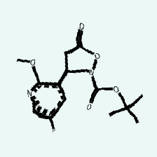 COc1ncc(F)cc1C1CC(=O)ON1C(=O)OC(C)(C)C